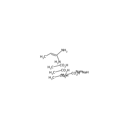 CC(=O)O.CC(=O)O.CC(=O)O.CC(=O)O.CC=C(N)N.[NaH].[NaH]